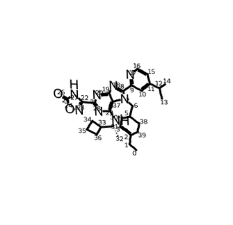 CCC1=CCC(Cn2c(-c3cc(C(C)C)ccn3)nc3nc(-c4noc(=O)[nH]4)nc(N[C@H](C)C4CCC4)c32)CC1